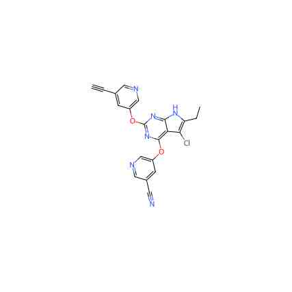 C#Cc1cncc(Oc2nc(Oc3cncc(C#N)c3)c3c(Cl)c(CC)[nH]c3n2)c1